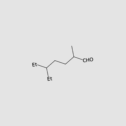 CCC(CC)CCC(C)C=O